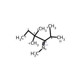 CCC(C)(C)/C(=N\C)C(C)C